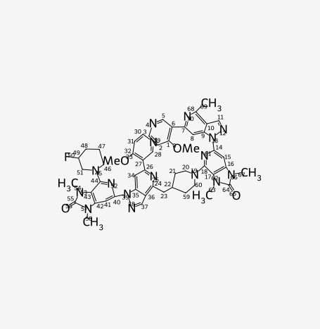 COc1ccncc1-c1cc2c(cnn2-c2cc3c(c(N4CCC(Cc5nc(-c6cnccc6OC)cc6c5cnn6-c5cc6c(c(N7CCCC(F)C7)n5)n(C)c(=O)n6C)CC4)n2)n(C)c(=O)n3C)c(C)n1